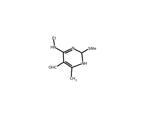 CCNC1=NC(SC)NC(C)=C1C=O